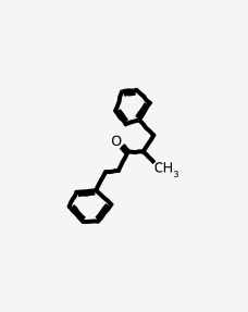 CC(Cc1ccccc1)C(=O)CCc1ccccc1